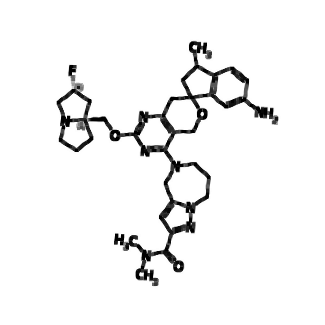 CC1CC2(Cc3nc(OC[C@@]45CCCN4C[C@H](F)C5)nc(N4CCCn5nc(C(=O)N(C)C)cc5C4)c3CO2)c2cc(N)ccc21